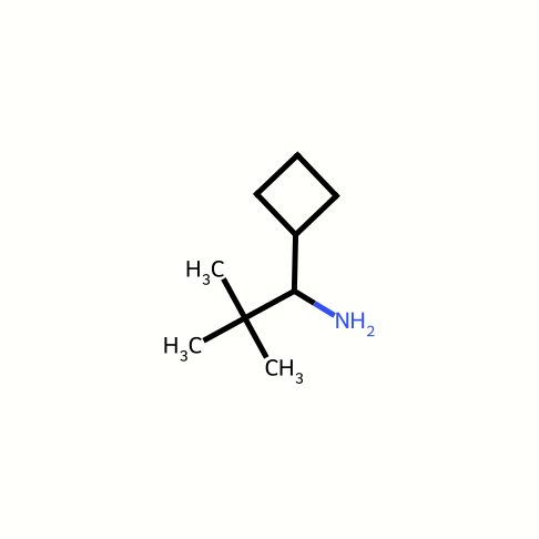 CC(C)(C)C(N)C1CCC1